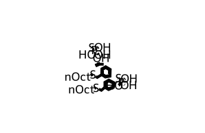 C=C(C)O.CCCCCCCCSCc1ccccc1.CCCCCCCCSCc1ccccc1.OP(O)(O)=S.OP(O)(O)=S